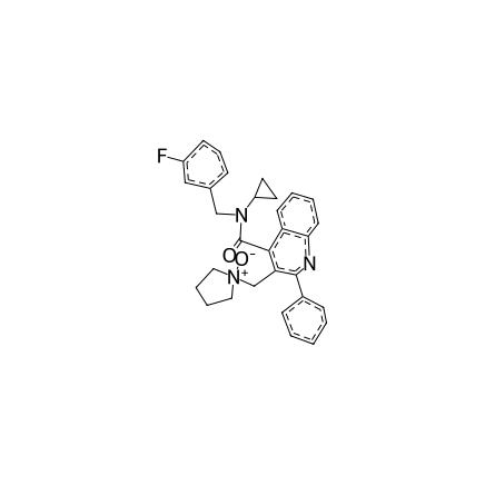 O=C(c1c(C[N+]2([O-])CCCC2)c(-c2ccccc2)nc2ccccc12)N(Cc1cccc(F)c1)C1CC1